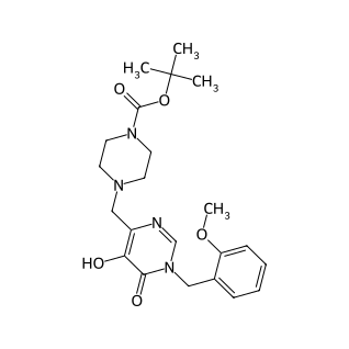 COc1ccccc1Cn1cnc(CN2CCN(C(=O)OC(C)(C)C)CC2)c(O)c1=O